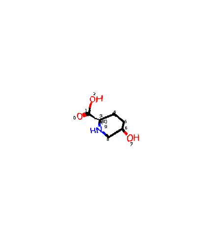 O=C(O)[C@H]1CCC(O)CN1